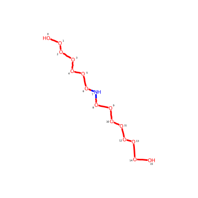 OOOOOOONOOOOOOOO